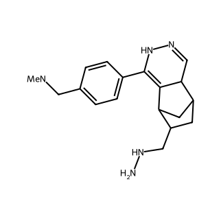 CNCc1ccc(C2=C3C(C=NN2)C2CC(CNN)C3C2)cc1